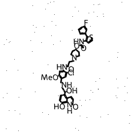 COc1cc(NC(=O)CCN2CCC(OC(=O)Nc3ccsc3-c3cccc(F)c3)CC2)c(Cl)cc1CNCC(O)c1ccc(O)c2[nH]c(=O)ccc12